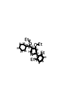 CCOc1cc(-c2c(CC)cccc2CC)ncc1C(OCC)C1CCCCC1